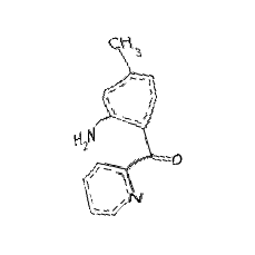 Cc1ccc(C(=O)c2ccccn2)c(N)c1